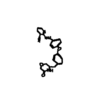 N#Cc1cccnc1N=Nc1ccc(Oc2ccc(CC3COCC(=O)N3)cc2)cc1